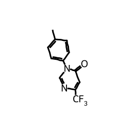 Cc1ccc(-n2cnc(C(F)(F)F)cc2=O)cc1